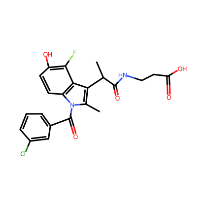 Cc1c(C(C)C(=O)NCCC(=O)O)c2c(F)c(O)ccc2n1C(=O)c1cccc(Cl)c1